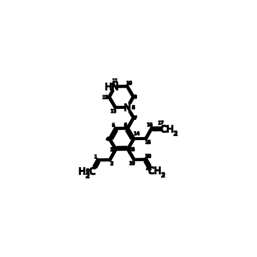 C=CCc1ccc(CN2CCNCC2)c(CC=C)c1CC=C